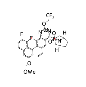 C=Cc1cc2c(N3C[C@H]4CC[C@@H](C3)N4C(=O)OC(C)(C)C)nc(OCC(F)(F)F)nc2c(F)c1-c1cc(OCOC)cc2ccc(F)c(F)c12